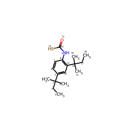 CCC(C)(C)c1ccc(NC(=O)S)c(C(C)(C)CC)c1